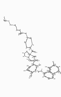 CNCCCCCNCC1CCN(C(=O)C2(NS(=O)(=O)c3ccc(Cl)c(COc4cccc5c(C)cc(C)nc45)c3Cl)CCCC2)CC1